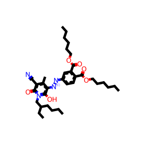 CCCCCCOC(=O)c1ccc(/N=N/c2c(C)c(C#N)c(=O)n(CC(CC)CCCC)c2O)cc1C(=O)OCCCCCC